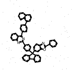 c1ccc(-c2nc3ccc(C4(c5ccc(-c6nc(-c7ccc(-c8cccc9ccccc89)cc7)c7ccccc7n6)cc5)c5ccccc5-c5ccccc54)cc3o2)cc1